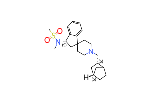 CN([C@H]1CC2(CCN(C[C@H]3C[C@H]4CCC3C4)CC2)c2ccccc21)S(C)(=O)=O